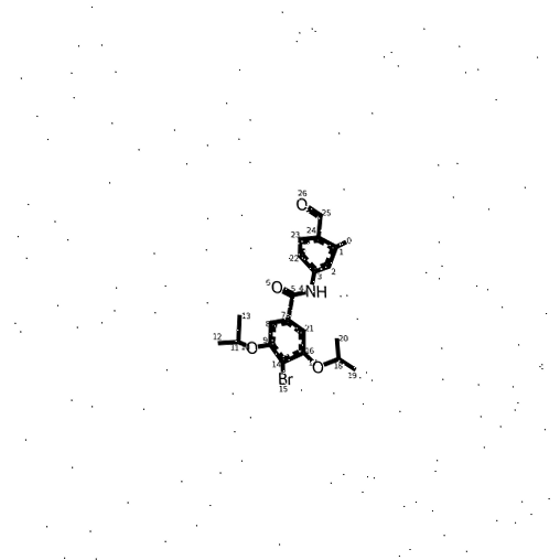 Cc1cc(NC(=O)c2cc(OC(C)C)c(Br)c(OC(C)C)c2)ccc1C=O